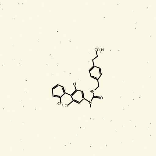 CN(C(=O)NCc1ccc(CCC(=O)O)cc1)c1cc(Cl)c(-c2ccccc2C(F)(F)F)c(Cl)c1